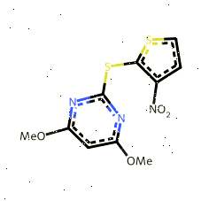 COc1cc(OC)nc(Sc2sccc2[N+](=O)[O-])n1